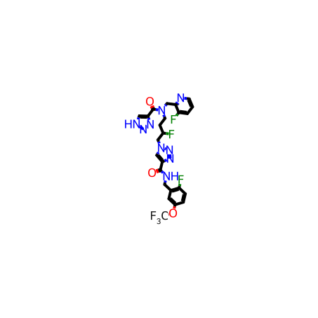 O=C(NCc1cc(OC(F)(F)F)ccc1F)c1cn(CC(F)CCN(Cc2ncccc2F)C(=O)c2c[nH]nn2)nn1